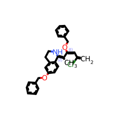 C=C(Cl)/C=C(OCc1ccccc1)\C(C)=C1/NCCc2cc(OCc3ccccc3)ccc21